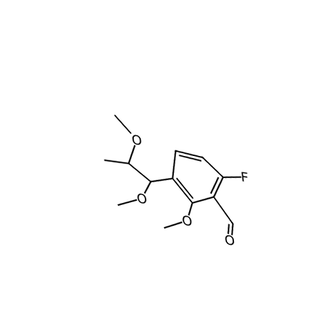 COc1c(C(OC)C(C)OC)ccc(F)c1C=O